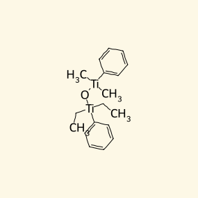 C[CH2][Ti]([CH2]C)([O][Ti]([CH3])([CH3])[c]1ccccc1)[c]1ccccc1